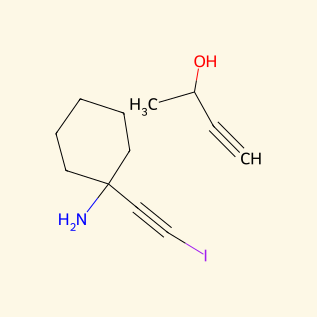 C#CC(C)O.NC1(C#CI)CCCCC1